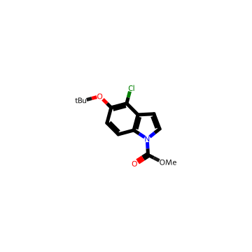 COC(=O)n1ccc2c(Cl)c(OC(C)(C)C)ccc21